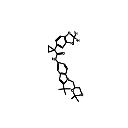 [2H]C1([2H])Oc2ccc(C3(C(=O)Nc4ccc5c(c4)cc(C(C)(C)C)n5CC4COC(C)(C)O4)CC3)cc2O1